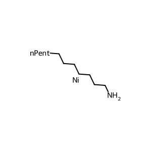 CCCCCCCCCCCCN.[Ni]